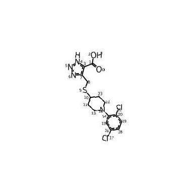 O=C(O)c1[nH]nnc1CSC1CCN(c2cc(Cl)ccc2Cl)CC1